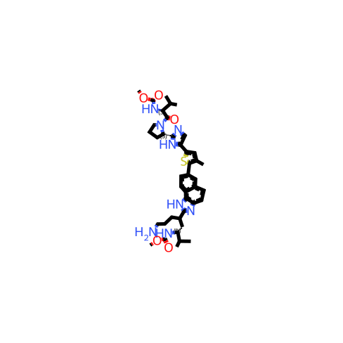 COC(=O)N[C@H](C(=O)N1CCC[C@H]1c1ncc(-c2cc(C)c(-c3ccc4c(ccc5nc(C(CCCN)C[C@@H](NC(=O)OC)C(C)C)[nH]c54)c3)s2)[nH]1)C(C)C